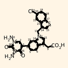 Nn1cc(-c2ccc3c(CC(=O)O)cn(Cc4csc5ccc(Cl)cc45)c3c2)c(=O)n(N)c1=O